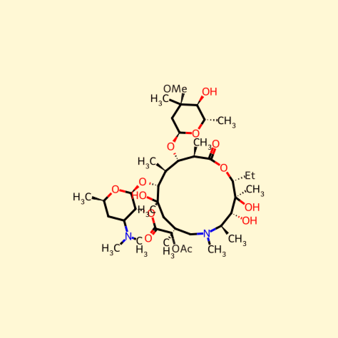 CC[C@H]1OC(=O)[C@H](C)[C@@H](O[C@H]2C[C@@](C)(OC)[C@@H](O)[C@H](C)O2)[C@H](C)[C@@H](O[C@@H]2O[C@H](C)CC(N(C)C)[C@H]2OC(=O)COC(C)=O)[C@](C)(O)C[C@@H](C)CN(C)[C@H](C)[C@@H](O)[C@]1(C)O